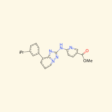 COC(=O)c1ccc(Nc2nc3c(-c4cccc(C(C)C)c4)cccn3n2)nc1